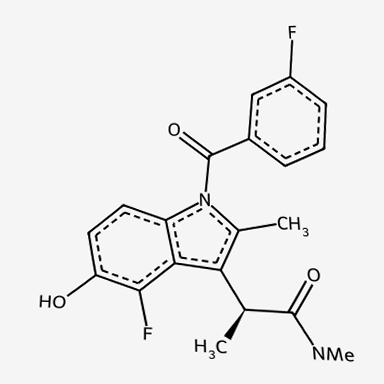 CNC(=O)[C@@H](C)c1c(C)n(C(=O)c2cccc(F)c2)c2ccc(O)c(F)c12